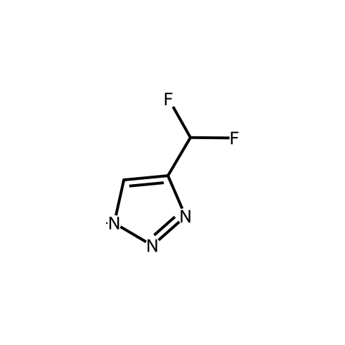 FC(F)C1=C[N]N=N1